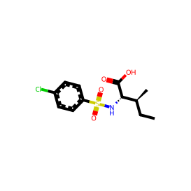 CC[C@H](C)[C@H](NS(=O)(=O)c1ccc(Cl)cc1)C(=O)O